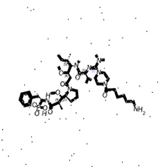 CC[C@H](C)[C@@H]([C@@H](CC(=O)N1CCC[C@H]1[C@H](OC)[C@@H](C)C(=O)N[C@@H](Cc1ccccc1)P(=O)(O)O)OC)N(C)C(=O)[C@@H](/N=C(/N(C)C)N1CCN(C(=O)CCCCCN)CC1)C(C)C